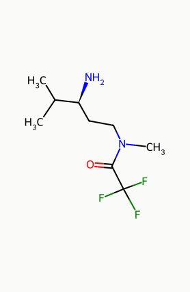 CC(C)[C@@H](N)CCN(C)C(=O)C(F)(F)F